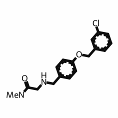 CNC(=O)CNCc1ccc(OCc2cccc(Cl)c2)cc1